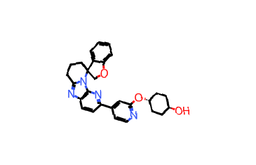 O[C@H]1CC[C@H](Oc2cc(-c3ccc4nc5n(c4n3)C3(CCC5)COc4ccccc43)ccn2)CC1